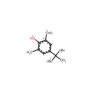 CCCCC(C)(CCCC)c1cc(C)c(O)c(C=O)c1